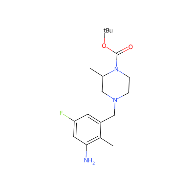 Cc1c(N)cc(F)cc1CN1CCN(C(=O)OC(C)(C)C)C(C)C1